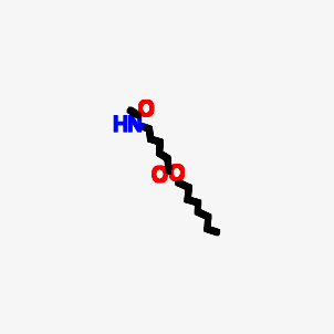 CCCCCCCCOC(=O)CCCCCNC(C)=O